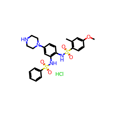 COc1ccc(S(=O)(=O)Nc2ccc(N3CCNCC3)cc2NS(=O)(=O)c2ccccc2)c(C)c1.Cl